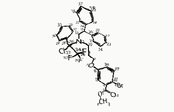 COC(=O)c1cc(OCCCN(CC(c2ccccc2)c2ccccc2)C(Cl)(c2ccccc2)C(F)(F)F)ccc1Br